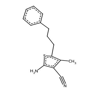 Cc1c(CCCc2ccccc2)sc(N)c1C#N